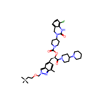 Cc1cc(C[C@@H](OC(=O)N2CCC(N3Cc4cccc(F)c4NC3=O)CC2)C(=O)N2CCC(N3CCCCC3)CC2)cc2cn(COCC[Si](C)(C)C)nc12